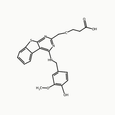 COc1cc(CNc2nc(CCCCC(=O)O)nc3sc4ccccc4c23)ccc1O